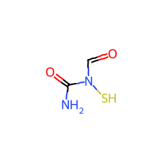 NC(=O)N(S)C=O